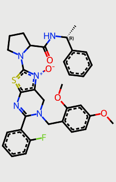 COc1ccc(CN2Cc3c(sc(N4CCCC4C(=O)N[C@H](C)c4ccccc4)[n+]3[O-])N=C2c2ccccc2F)c(OC)c1